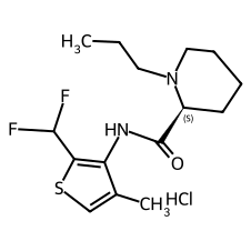 CCCN1CCCC[C@H]1C(=O)Nc1c(C)csc1C(F)F.Cl